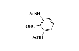 CC(=O)Nc1cccc(NC(C)=O)c1[C]=O